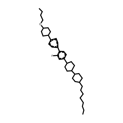 CCCCCCCCC1CCC(C2CCC(c3ccc(-c4ccc(C5CCC(OCCCC)CC5)cc4)c(F)c3)CC2)CC1